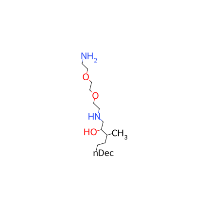 CCCCCCCCCCCCC(C)C(O)CNCCOCCOCCN